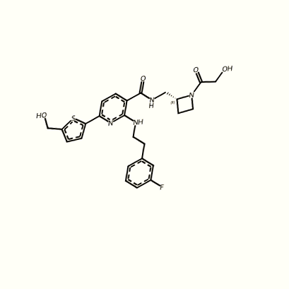 O=C(NC[C@H]1CCN1C(=O)CO)c1ccc(-c2ccc(CO)s2)nc1NCCc1cccc(F)c1